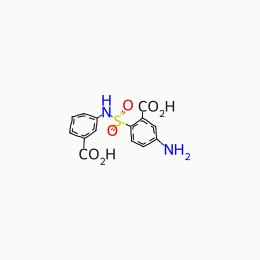 Nc1ccc(S(=O)(=O)Nc2cccc(C(=O)O)c2)c(C(=O)O)c1